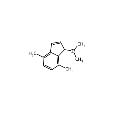 Cc1ccc(C)c2c1C=C[CH]2[Zr]([CH3])[CH3]